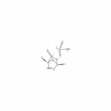 CS(=O)(=O)O.O=C1O[C@@H]2CN[C@H]1C2